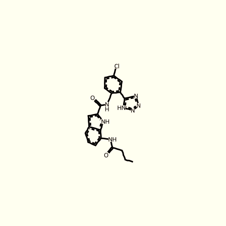 CCCC(=O)Nc1cccc2cc(C(=O)Nc3ccc(Cl)cc3-c3nnn[nH]3)[nH]c12